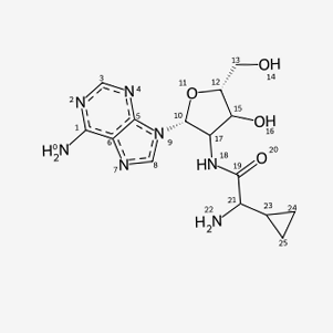 Nc1ncnc2c1ncn2[C@@H]1O[C@H](CO)C(O)C1NC(=O)C(N)C1CC1